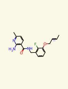 C/C=C/COc1cccc(CNC(=O)c2ccc(C)nc2N)c1F